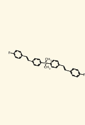 C[Si](C)(c1ccc(/C=C/c2ccc(F)cc2)cc1)c1ccc(/C=C/c2ccc(F)cc2)cc1